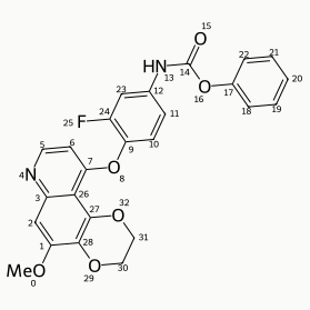 COc1cc2nccc(Oc3ccc(NC(=O)Oc4ccccc4)cc3F)c2c2c1OCCO2